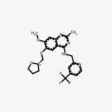 COc1cc2nc(C)nc(NCc3cc(C(F)(F)F)ccn3)c2cc1OC[C@H]1CCCO1